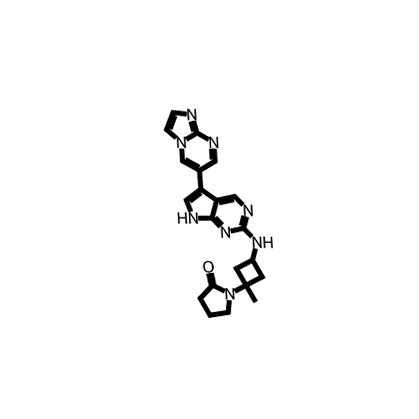 CC1(N2CCCC2=O)CC(Nc2ncc3c(-c4cnc5nccn5c4)c[nH]c3n2)C1